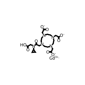 O=C([O-])CN1CCN(CC(=O)[O-])CCN(CC(=O)N(CC(=O)O)C2CC2)CCN(CC(=O)[O-])CC1.[Gd+3]